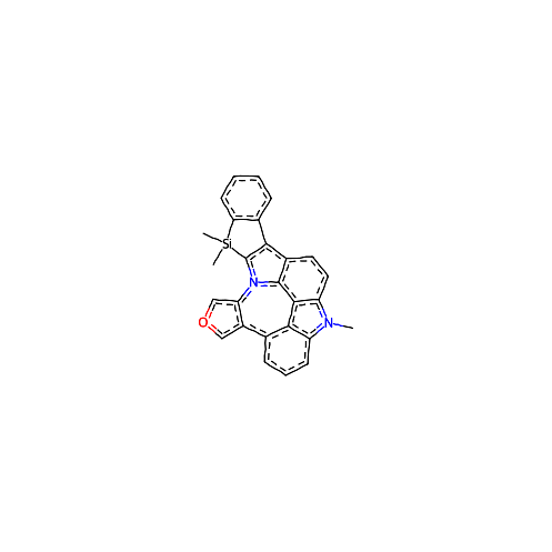 Cn1c2cccc3c4cocc4n4c5c(c6ccc1c(c32)c64)-c1ccccc1[Si]5(C)C